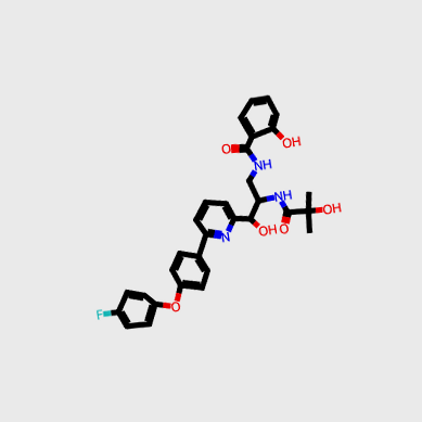 CC(C)(O)C(=O)NC(CNC(=O)c1ccccc1O)C(O)c1cccc(-c2ccc(Oc3ccc(F)cc3)cc2)n1